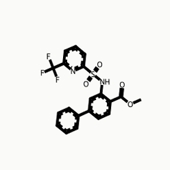 COC(=O)c1ccc(-c2ccccc2)cc1NS(=O)(=O)c1cccc(C(F)(F)F)n1